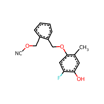 Cc1cc(O)c(F)cc1OCc1ccccc1COC#N